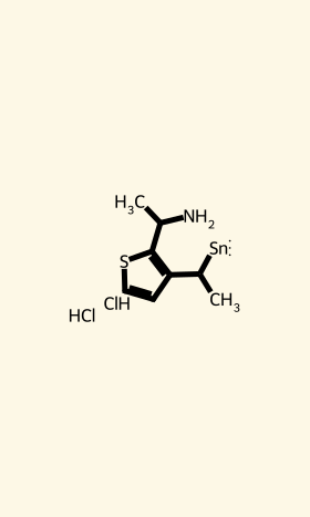 CC(N)c1sccc1[CH](C)[Sn].Cl.Cl